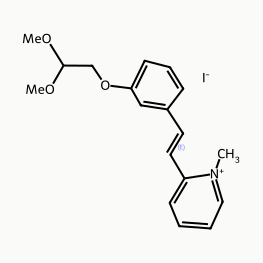 COC(COc1cccc(/C=C/c2cccc[n+]2C)c1)OC.[I-]